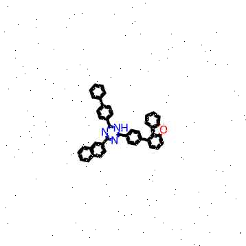 c1ccc(-c2ccc(C3N=C(c4ccc5ccccc5c4)N=C(c4ccc(-c5cccc6oc7ccccc7c56)cc4)N3)cc2)cc1